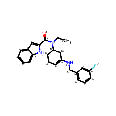 CCN(C(=O)c1cc2ccccc2[nH]1)C1CCC=C(NCc2cccc(F)c2)C1